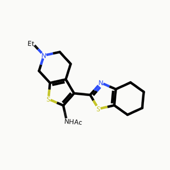 CCN1CCc2c(sc(NC(C)=O)c2-c2nc3c(s2)CCCC3)C1